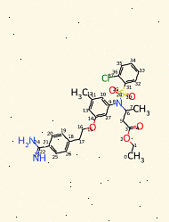 CCOC(=O)CC(C)N(c1cc(C)cc(OCCc2ccc(C(=N)N)cc2)c1)S(=O)(=O)c1ccccc1Cl